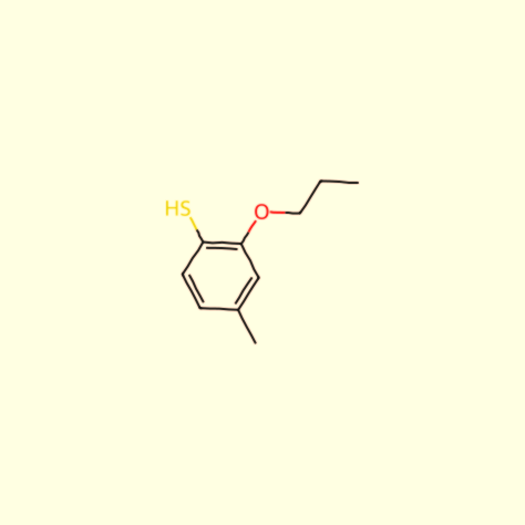 CCCOc1cc(C)ccc1S